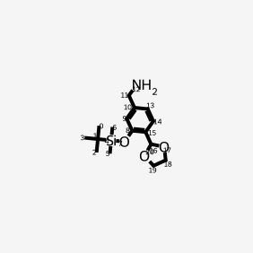 CC(C)(C)[Si](C)(C)Oc1cc(CN)ccc1C1OCCO1